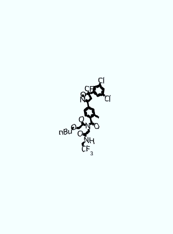 CCCCOCC(=O)N(CC(=O)NCC(F)(F)F)C(=O)c1ccc(C2=NOC(c3cc(Cl)cc(Cl)c3)(C(F)(F)F)C2)cc1C